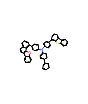 c1ccc(-c2ccc(N(c3ccc(-c4cccc5c4sc4ccccc45)cc3)c3ccc(-c4cccc5ccc6c7ccccc7oc6c45)cc3)cc2)cc1